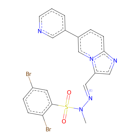 CN(/N=C/c1cnc2ccc(-c3cccnc3)cn12)S(=O)(=O)c1cc(Br)ccc1Br